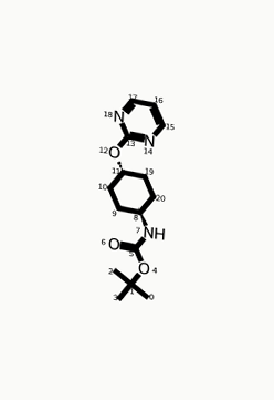 CC(C)(C)OC(=O)N[C@H]1CC[C@H](Oc2ncccn2)CC1